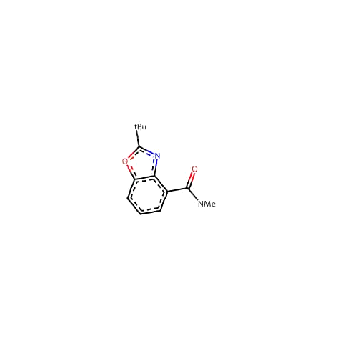 CNC(=O)c1cccc2oc(C(C)(C)C)nc12